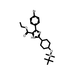 CCOC(=O)c1[nH]c(C2CCC(O[Si](C)(C)C(C)(C)C)CC2)nc1-c1ccc(Br)cc1